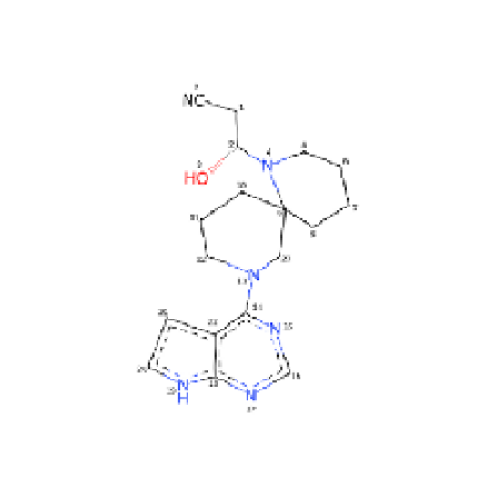 N#CC[C@@H](O)N1CCCCC12CCCN(c1ncnc3[nH]ccc13)C2